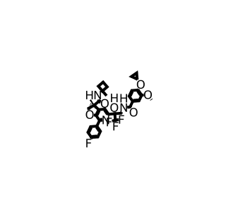 COc1cc(C(=O)NCC(O)(c2cc3c(c(-c4ccc(F)cc4)n2)OC[C@]3(C)C(=O)NC2(C)CCC2)C(F)(F)F)ccc1OC1CC1